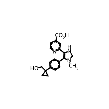 CN1CNC(c2cc(C(=O)O)ccn2)=C1c1ccc(C2(CO)CC2)cc1